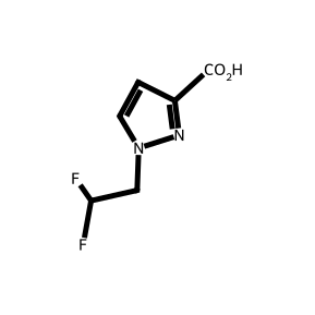 O=C(O)c1ccn(CC(F)F)n1